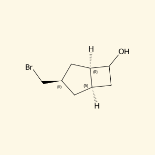 OC1C[C@H]2C[C@@H](CBr)C[C@@H]12